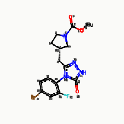 CC(C)(C)OC(=O)N1CC[C@@H](Cc2n[nH]c(=O)n2-c2ccc(Br)cc2F)C1